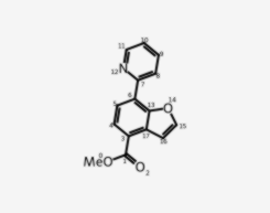 COC(=O)c1ccc(-c2ccccn2)c2occc12